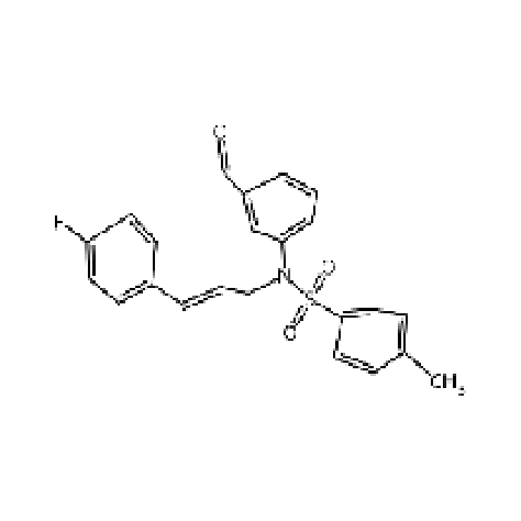 Cc1ccc(S(=O)(=O)N(CC=Cc2ccc(F)cc2)c2cccc(C=O)c2)cc1